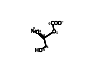 O=C([O-])OC(=O)CO.[Na+]